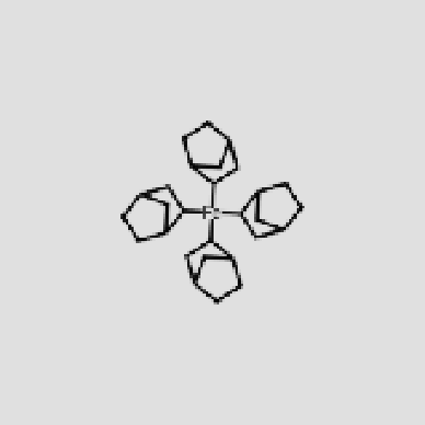 C1CC2CC1C[CH]2[Fe]([CH]1CC2CCC1C2)([CH]1CC2CCC1C2)[CH]1CC2CCC1C2